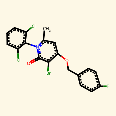 Cc1cc(OCc2ccc(F)cc2)c(Br)c(=O)n1-c1c(Cl)cccc1Cl